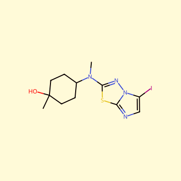 CN(c1nn2c(I)cnc2s1)C1CCC(C)(O)CC1